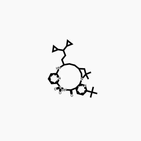 CC(C)(C)c1ccc2c(n1)N1CC(CCC(CCC(C3CC3)C3CC3)Nc3cccc(n3)S(=O)(=O)NC2=O)CC1(C)C